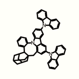 c1ccc2c(c1)C1C3CC4CC(C3)CC1(Cc1cc(-n3c5ccccc5c5ccccc53)cc3c5cc(-n6c7ccccc7c7ccccc76)ccc5n-2c13)C4